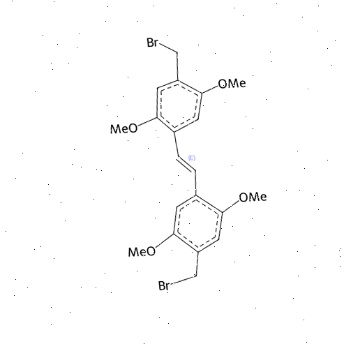 COc1cc(CBr)c(OC)cc1/C=C/c1cc(OC)c(CBr)cc1OC